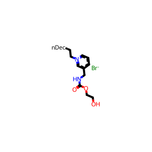 CCCCCCCCCCCC[n+]1cccc(CNC(=O)OCCO)c1.[Br-]